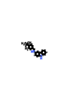 CC(C)(C)c1ccc(CNc2ccc3[nH]c4ccccc4c3c2)cc1